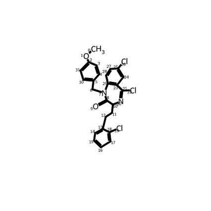 COc1ccc(CN2C(=O)C(CCc3ccccc3Cl)N=C(Cl)c3cc(Cl)ccc32)cc1